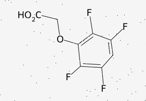 O=C(O)COc1c(F)c(F)cc(F)c1F